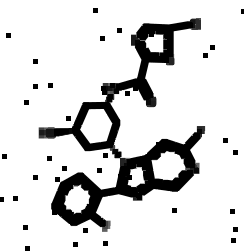 O=C(N[C@H]1C[C@H](O)C[C@@H](n2c(-c3ccccc3F)nc3cnc(F)cc32)C1)c1ncc(Cl)s1